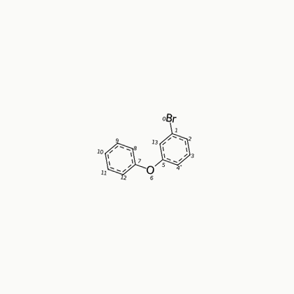 Brc1cc[c]c(Oc2ccccc2)c1